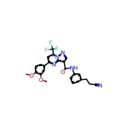 COc1ccc(-c2cc(C(F)(F)F)n3ncc(C(=O)Nc4cccc(CCC#N)c4)c3n2)cc1OC